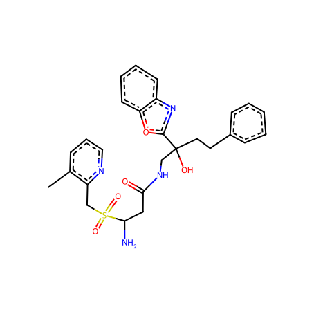 Cc1cccnc1CS(=O)(=O)C(N)CC(=O)NCC(O)(CCc1ccccc1)c1nc2ccccc2o1